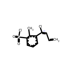 C=C/C=C(/Cl)c1cccc(S(=O)(=O)Cl)c1C